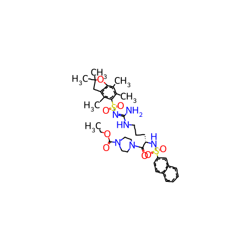 CCOC(=O)N1CCN(C(=O)[C@H](CCCN/C(N)=N/S(=O)(=O)c2c(C)c(C)c3c(c2C)CC(C)(C)O3)NS(=O)(=O)c2ccc3ccccc3c2)CC1